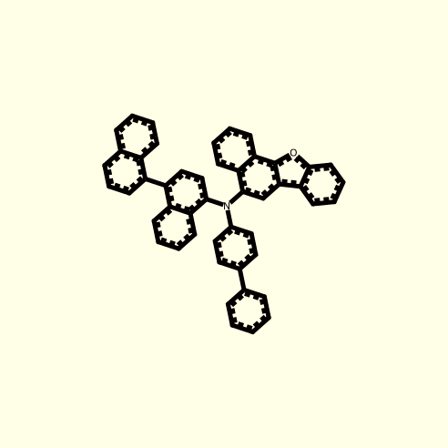 c1ccc(-c2ccc(N(c3ccc(-c4cccc5ccccc45)c4ccccc34)c3cc4c5ccccc5oc4c4ccccc34)cc2)cc1